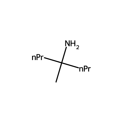 [CH2]CCC(C)(N)CCC